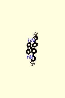 C[Si](C)(C)C1=CNC(c2cccc(C3(c4cccc(C5=CC=C([Si](C)(C)C)CN5)c4)C4=C(C=CCC4)c4ccccc43)c2)C=C1